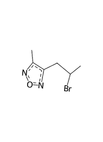 Cc1nonc1CC(C)Br